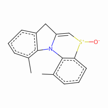 Cc1cccc2c1N1C(=C[S+]([O-])c3cccc(C)c31)C2